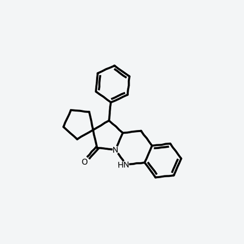 O=C1N2Nc3ccccc3CC2C(c2ccccc2)C12CCCC2